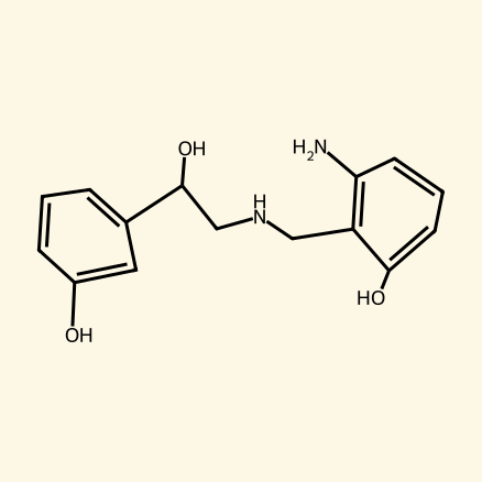 Nc1cccc(O)c1CNCC(O)c1cccc(O)c1